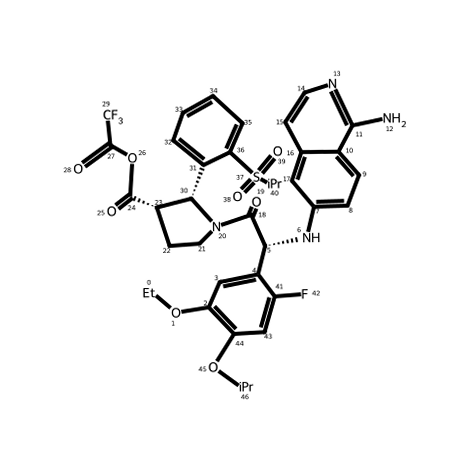 CCOc1cc([C@@H](Nc2ccc3c(N)nccc3c2)C(=O)N2CC[C@H](C(=O)OC(=O)C(F)(F)F)[C@@H]2c2ccccc2S(=O)(=O)C(C)C)c(F)cc1OC(C)C